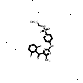 CCOC(=O)CNS(=O)(=O)c1ccc(Nc2nc(N)c(C(=O)c3c(F)cccc3F)s2)cc1